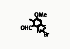 COc1cc2sc(Br)nc2c(C=O)c1C